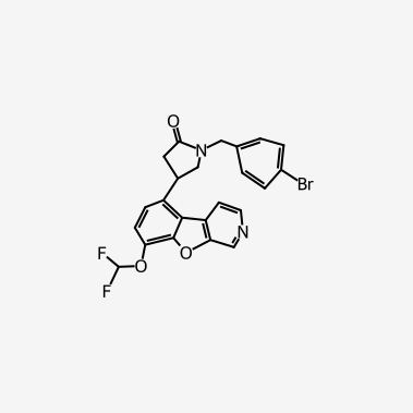 O=C1CC(c2ccc(OC(F)F)c3oc4cnccc4c23)CN1Cc1ccc(Br)cc1